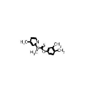 Cc1ccnc(N(C)C(=S)Oc2ccc(C)c(C)c2)c1